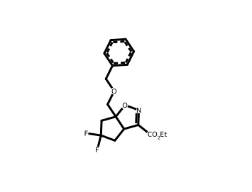 CCOC(=O)C1=NOC2(COCc3ccccc3)CC(F)(F)CC12